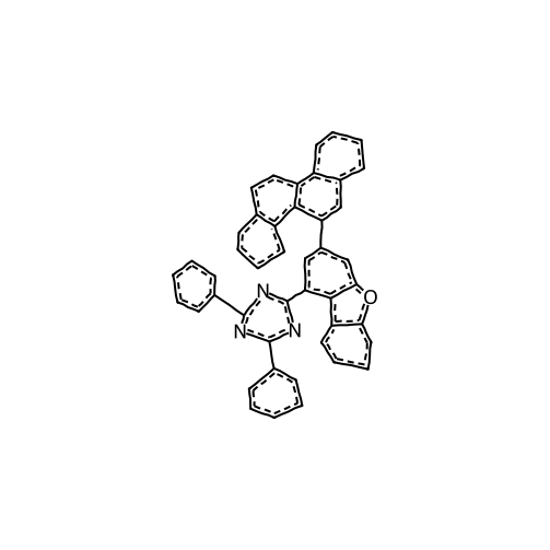 c1ccc(-c2nc(-c3ccccc3)nc(-c3cc(-c4cc5ccccc5c5ccc6ccccc6c45)cc4oc5ccccc5c34)n2)cc1